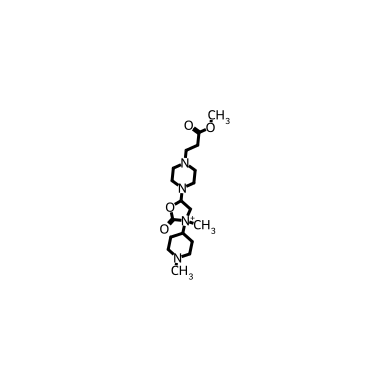 COC(=O)CCN1CCN(C2C[N+](C)(C3CCN(C)CC3)C(=O)O2)CC1